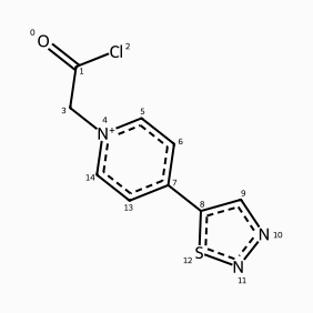 O=C(Cl)C[n+]1ccc(-c2cnns2)cc1